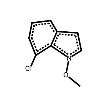 COn1ccc2cccc(Cl)c21